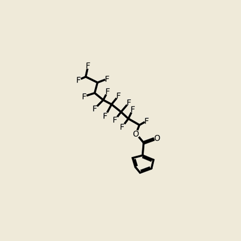 O=C(OC(F)C(F)(F)C(F)(F)C(F)(F)C(F)(F)C(F)C(F)C(F)F)c1ccccc1